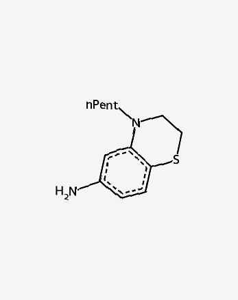 CCCCCN1CCSc2ccc(N)cc21